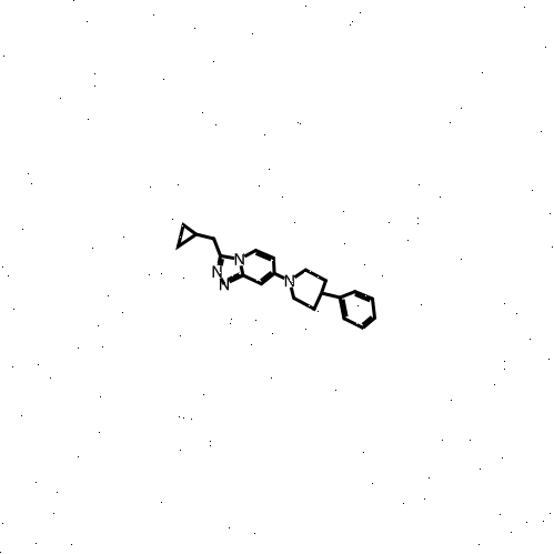 c1ccc(C2CCN(c3ccn4c(CC5CC5)nnc4c3)CC2)cc1